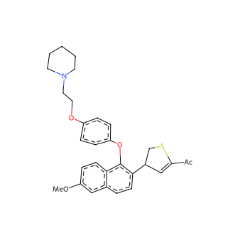 COc1ccc2c(Oc3ccc(OCCN4CCCCC4)cc3)c(C3C=C(C(C)=O)SC3)ccc2c1